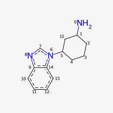 NC1CCCC(n2cnc3ccccc32)C1